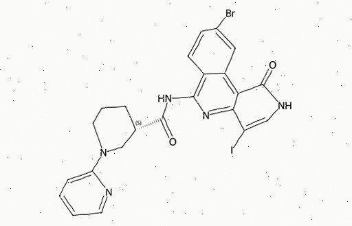 O=C(Nc1nc2c(I)c[nH]c(=O)c2c2cc(Br)ccc12)[C@H]1CCCN(c2ccccn2)C1